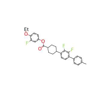 CCOc1ccc(OC(=O)C2CCC(c3ccc(-c4ccc(C)cc4)c(F)c3F)CC2)cc1F